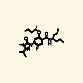 CCCC(CCC)NC(=O)c1cc(F)c(-n2nc(C(C)C)n(C)c2=O)cc1O[C@@H](C)CCC